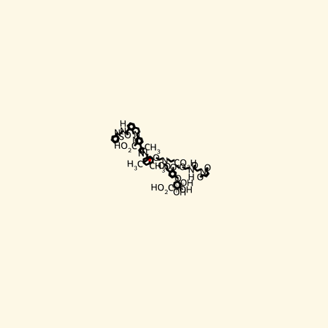 Cc1c(-c2ccc(N3CCc4cccc(C(=O)Nc5nc6ccccc6s5)c4C3)nc2C(=O)O)cnn1CC12CC3(C)CC(C)(C1)CC(OCCN(CCCC(=O)O)C(=O)OCc1ccc(O[C@@H]4C[C@H](C(=O)O)[C@@H](O)[C@H](O)[C@H]4O)cc1OCCOCCNC(=O)CCN1C(=O)C=CC1=O)(C3)C2